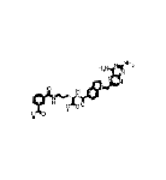 COC(=O)c1cccc(C(=O)NCCC[C@H](NC(=O)c2ccc3c(c2)CCN3Cc2cnc3nc(N)nc(N)c3n2)C(=O)OC)c1